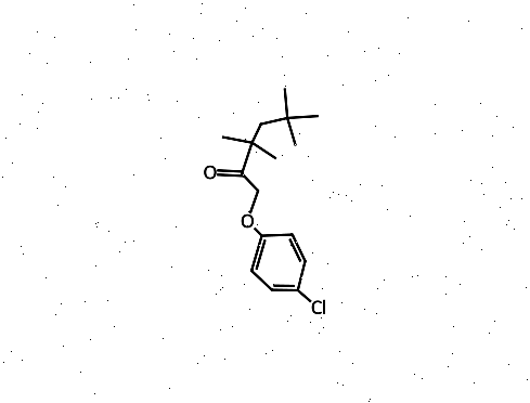 CC(C)(C)CC(C)(C)C(=O)COc1ccc(Cl)cc1